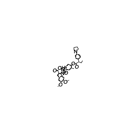 CCC(C(=O)Oc1ccc(S(=O)(=O)n2c(C(=O)O)cc3cc(OC)c(OC)cc32)cc1C)c1ccc(N2CCCC2)cc1